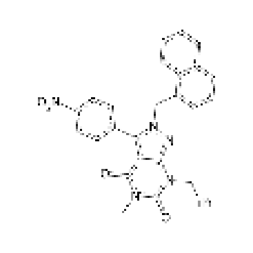 CC(C)Cn1c(=O)n(C)c(=O)c2c(-c3ccc([N+](=O)[O-])cc3)n(Cc3cccc4ccccc34)nc21